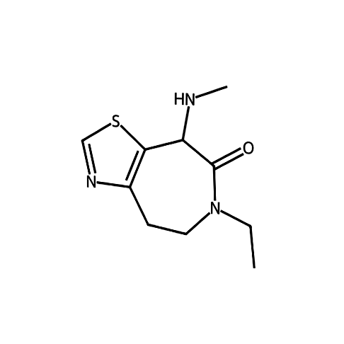 CCN1CCc2ncsc2C(NC)C1=O